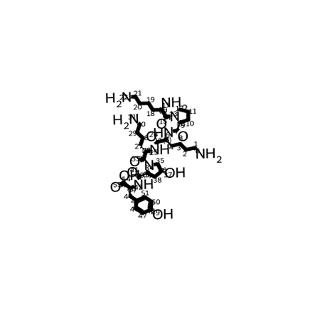 NCCCC[C@H](NC(=O)[C@@H]1CCCN1C(=O)[C@@H](N)CCCCN)C(=O)N[C@@H](CCCCN)C(=O)N1C[C@H](O)C[C@H]1C(=O)N[C@@H](Cc1ccc(O)cc1)C(=O)O